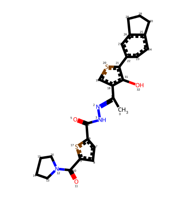 C/C(=N\NC(=O)c1ccc(C(=O)N2CCCC2)s1)c1csc(-c2ccc3c(c2)CCC3)c1O